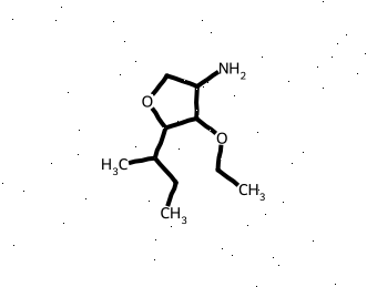 CCOC1C(N)COC1C(C)CC